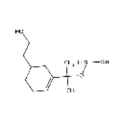 CC(C)(C)[SiH2]OC(C)(C)C1=CCCC(CCO)C1